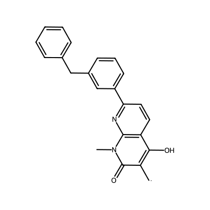 [CH2]c1c(O)c2ccc(-c3cccc(Cc4ccccc4)c3)nc2n(C)c1=O